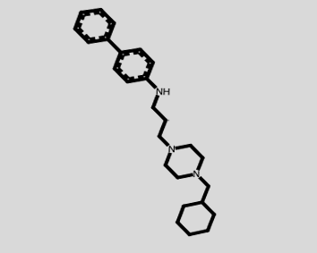 [CH](CNc1ccc(-c2ccccc2)cc1)CN1CCN(CC2CCCCC2)CC1